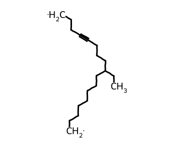 [CH2]CCC#CCCCC(CC)CCCCCCC[CH2]